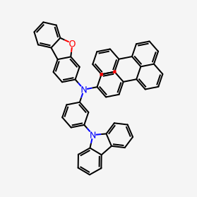 c1ccc(-c2cccc3cccc(-c4ccc(N(c5cccc(-n6c7ccccc7c7ccccc76)c5)c5ccc6c(c5)oc5ccccc56)cc4)c23)cc1